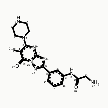 [2H]c1c(N2CCNCC2)nc2sc(-c3cccc(NC(=O)CN)c3)nn2c1=O